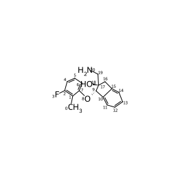 Cc1c(F)cccc1O[C@H]1c2ccccc2C[C@@]1(O)CN